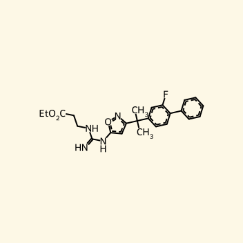 CCOC(=O)CCNC(=N)Nc1cc(C(C)(C)c2ccc(-c3ccccc3)c(F)c2)no1